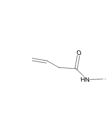 [CH2]NC(=O)CC=C